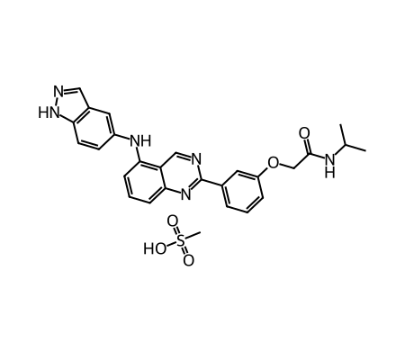 CC(C)NC(=O)COc1cccc(-c2ncc3c(Nc4ccc5[nH]ncc5c4)cccc3n2)c1.CS(=O)(=O)O